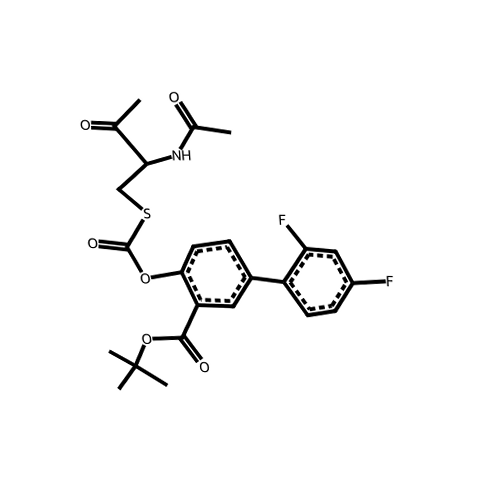 CC(=O)NC(CSC(=O)Oc1ccc(-c2ccc(F)cc2F)cc1C(=O)OC(C)(C)C)C(C)=O